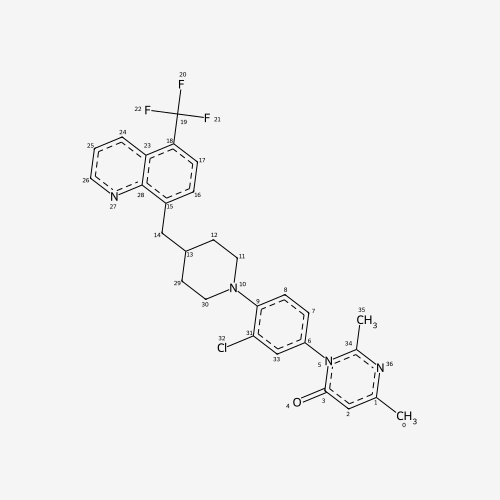 Cc1cc(=O)n(-c2ccc(N3CCC(Cc4ccc(C(F)(F)F)c5cccnc45)CC3)c(Cl)c2)c(C)n1